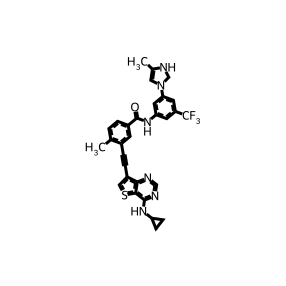 CC1=CN(c2cc(NC(=O)c3ccc(C)c(C#Cc4csc5c(NC6CC6)ncnc45)c3)cc(C(F)(F)F)c2)CN1